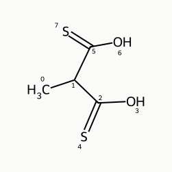 CC(C(O)=S)C(O)=S